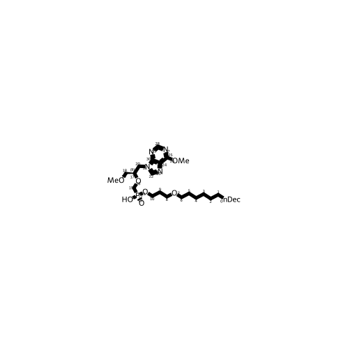 CCCCCCCCCCCCCCCCOCCCOP(=O)(O)CO[C@@H](COC)Cn1cnc2c(OC)ncnc21